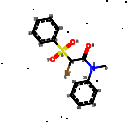 CN(C(=O)C(Br)S(=O)(=O)c1ccccc1)c1ccccc1